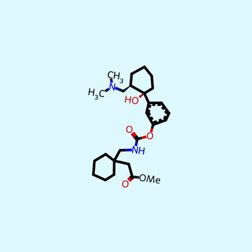 COC(=O)CC1(CNC(=O)Oc2cccc([C@@]3(O)CCCC[C@@H]3CN(C)C)c2)CCCCC1